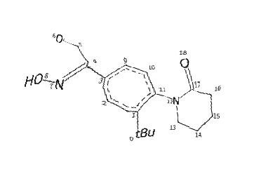 CC(C)(C)c1cc(C(C[O])=NO)ccc1N1CCCCC1=O